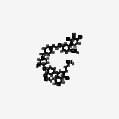 CCCCn1cc(-c2ccc(O[C@H]3CCN(CC4CCN(CCOc5ccc(C)c(N6CCC(=O)NC6=O)c5)CC4)C[C@@H]3F)c(OC)c2)c2ccncc2c1=O